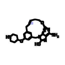 Nc1nc2nc3c1nc(O)n3Cc1cc(cc(OC3CCNCC3)c1)C/C=C/CCO2